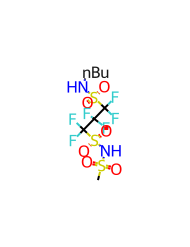 CCCCNS(=O)(=O)C(F)(F)C(F)(F)C(F)(F)S(=O)(=O)NS(C)(=O)=O